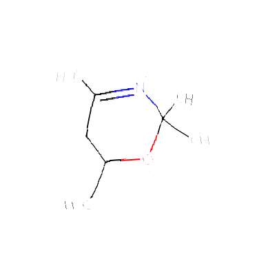 CC1=NC(C)(C)OC(C)C1